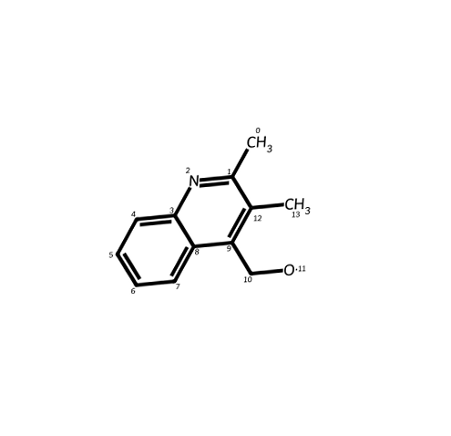 Cc1nc2ccccc2c(C[O])c1C